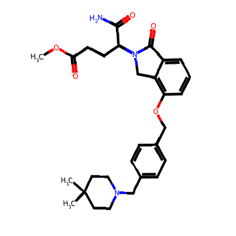 COC(=O)CCC(C(N)=O)N1Cc2c(OCc3ccc(CN4CCC(C)(C)CC4)cc3)cccc2C1=O